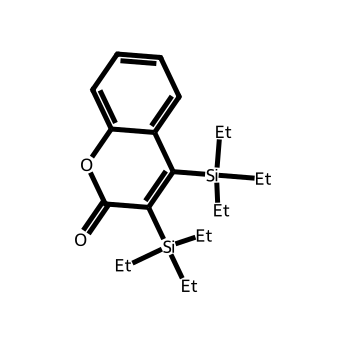 CC[Si](CC)(CC)c1c([Si](CC)(CC)CC)c2ccccc2oc1=O